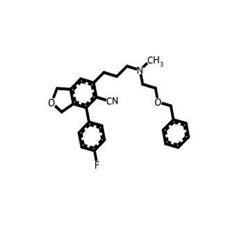 CN(CCCc1cc2c(c(-c3ccc(F)cc3)c1C#N)COC2)CCOCc1ccccc1